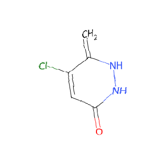 C=C1NNC(=O)C=C1Cl